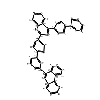 c1ccc(-c2ccc(-c3nc(-c4ccc(-c5cccc(-c6cc7cccnc7c7ccccc67)c5)cc4)nc4ccccc34)cc2)cc1